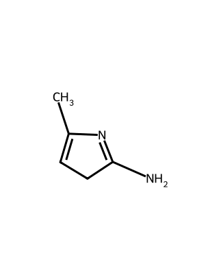 CC1=CCC(N)=N1